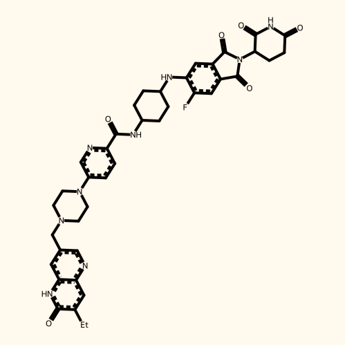 CCc1cc2ncc(CN3CCN(c4ccc(C(=O)NC5CCC(Nc6cc7c(cc6F)C(=O)N(C6CCC(=O)NC6=O)C7=O)CC5)nc4)CC3)cc2[nH]c1=O